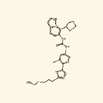 Cc1cc(NC(=O)Nc2cnc3ccnn3c2C2CCCC2)cnc1-c1noc(CCCCCO)n1